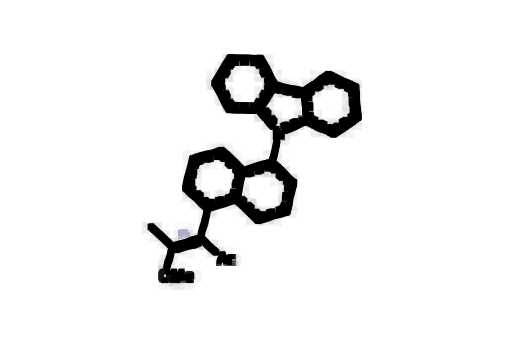 CO/C(C)=C(\C(C)=O)c1cccc2c(-n3c4ccccc4c4ccccc43)cccc12